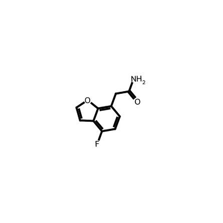 NC(=O)Cc1ccc(F)c2ccoc12